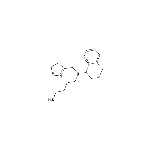 NCCCCN(Cc1nccs1)C1CCCc2cccnc21